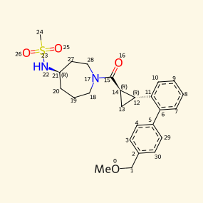 COCc1ccc(-c2ccccc2[C@@H]2C[C@H]2C(=O)N2CCC[C@@H](NS(C)(=O)=O)CC2)cc1